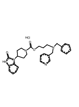 Cl.O=C(OCCCN(Cc1ccccc1)Cc1cccnc1)N1CCC(n2c(=O)[nH]c3ccccc32)CC1